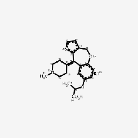 CC(Oc1ccc2c(c1)C(=C1CCN(C)CC1)c1sccc1CO2)C(=O)O.Cl